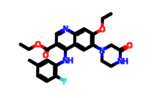 CCOC(=O)c1cnc2cc(OCC)c(N3CCNC(=O)C3)cc2c1Nc1cc(C)ccc1F